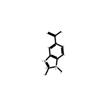 C=C(C)c1ccc2c(c1)nc(C)n2C